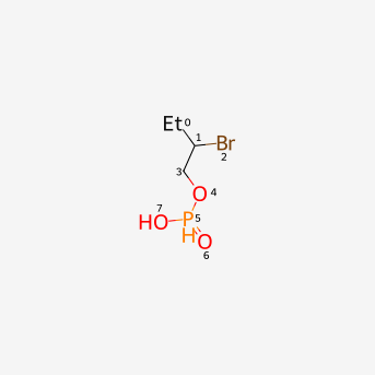 CCC(Br)CO[PH](=O)O